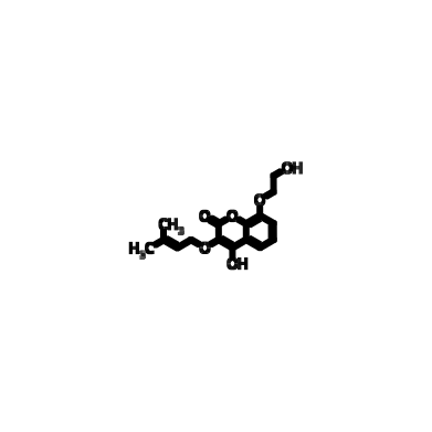 CC(C)=CCOc1c(O)c2cccc(OCCO)c2oc1=O